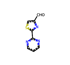 O=Cc1csc(-c2ncccn2)n1